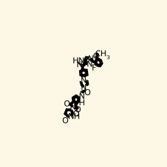 COc1cccc(F)c1-c1ncc2[nH]nc(-c3ccc(N4CCN(C(=O)CNc5ccc6c(c5)C(=O)N(C5CCC(=O)NC5=O)C6=O)CC4)cc3)c2n1